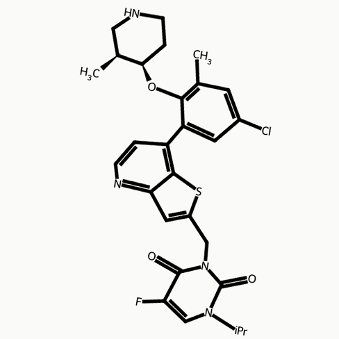 Cc1cc(Cl)cc(-c2ccnc3cc(Cn4c(=O)c(F)cn(C(C)C)c4=O)sc23)c1O[C@@H]1CCNC[C@@H]1C